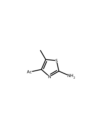 CC(=O)c1nc(N)sc1C